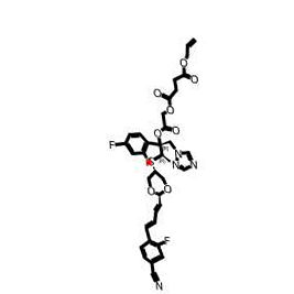 C=CCOC(=O)CCC(=O)OCC(=O)O[C@@](Cn1cncn1)(c1ccc(F)cc1F)[C@@H](C)S[C@H]1CO[C@H](C=CC=Cc2ccc(C#N)cc2F)OC1